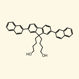 OCCCCC1(CCCCO)c2cc(-c3ccc4ccccc4c3)ccc2-c2ccc(-c3ccc4ccccc4c3)cc21